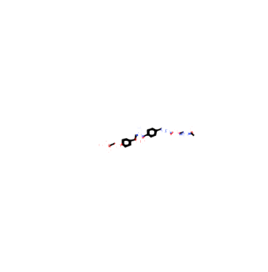 CC(=O)NCCOC(=O)N=NCc1ccc(C(=O)N[C@@H](C)C(=O)c2ccc(OCC(=O)O)cc2)cc1